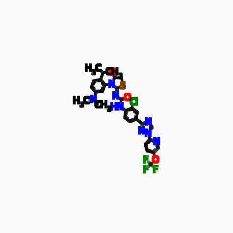 CC(C)c1ccc(N(C)C)cc1N1C(=O)CSC1=NC(=O)Nc1ccc(-c2ncn(-c3ccc(OC(F)(F)F)cn3)n2)cc1Cl